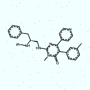 Cc1cccc(-c2c(-c3ccncc3)nc(NC[C@H](Cc3ccccc3)NC(C)C)n(C)c2=O)c1